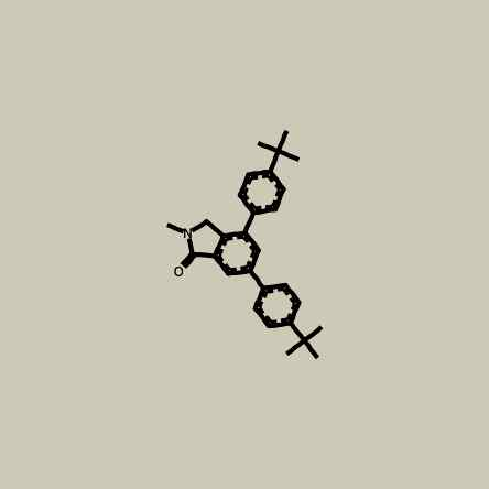 CN1Cc2c(cc(-c3ccc(C(C)(C)C)cc3)cc2-c2ccc(C(C)(C)C)cc2)C1=O